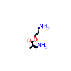 CC(=CN)C(=O)OCCCN